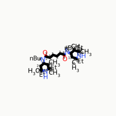 CCCCN(C(=O)CCCCC(=O)N(CCCC)C1CC(C)(CC)NC(C)(CC)C1C)C1CC(C)(CC)NC(C)(CC)C1C